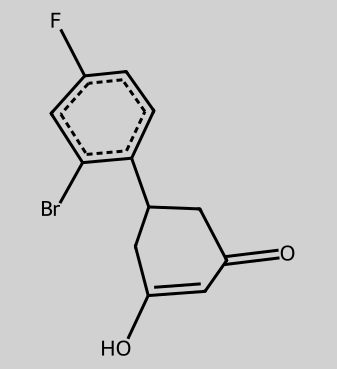 O=C1C=C(O)CC(c2ccc(F)cc2Br)C1